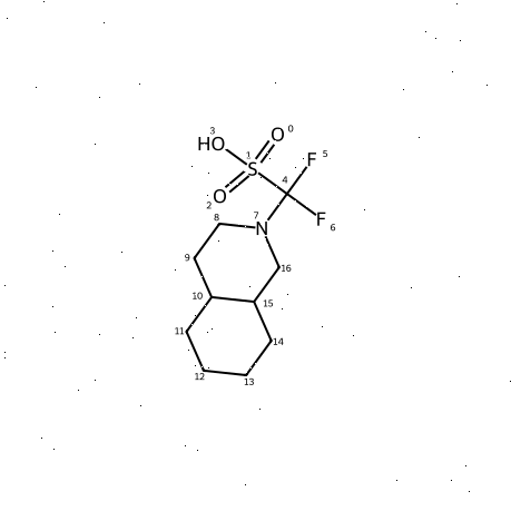 O=S(=O)(O)C(F)(F)N1CCC2CCCCC2C1